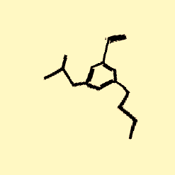 C=[C]c1cc(CCCC)cc(CC(C)C)c1